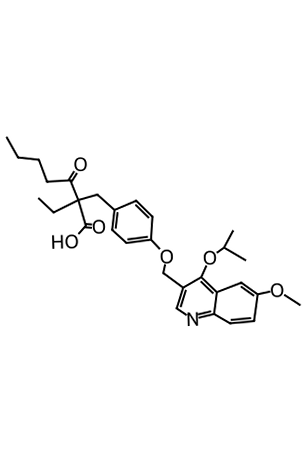 CCCCC(=O)C(CC)(Cc1ccc(OCc2cnc3ccc(OC)cc3c2OC(C)C)cc1)C(=O)O